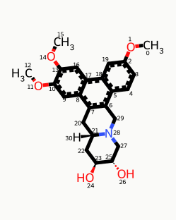 COc1ccc2c3c(c4cc(OC)c(OC)cc4c2c1)C[C@H]1C[C@H](O)[C@@H](O)CN1C3